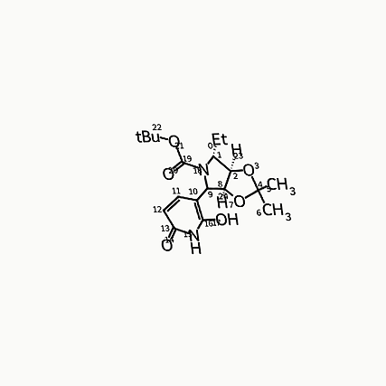 CC[C@@H]1[C@H]2OC(C)(C)O[C@H]2C(c2ccc(=O)[nH]c2O)N1C(=O)OC(C)(C)C